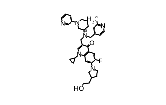 Cc1cc(CN(Cc2cn(C3CC3)c3cc(N4CCC(CCO)C4)c(F)cc3c2=O)[C@H]2CCCN(c3cccnc3)C2)ccn1